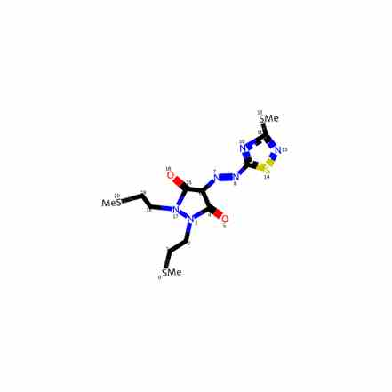 CSCCN1C(=O)C(/N=N/c2nc(SC)ns2)C(=O)N1CCSC